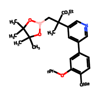 CCCOc1cc(-c2cncc(C(C)(CB3OC(C)(C)C(C)(C)O3)C(=O)OCC)c2)ccc1OC